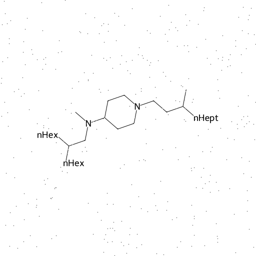 CCCCCCCC(C)CCN1CCC(N(C)CC(CCCCCC)CCCCCC)CC1